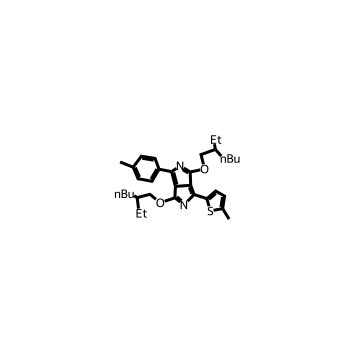 CCCCC(CC)COC1=NC(c2ccc(C)s2)=C2C(OCC(CC)CCCC)=NC(c3ccc(C)cc3)=C12